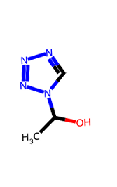 CC(O)n1[c]nnn1